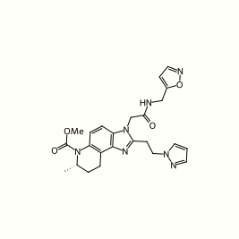 COC(=O)N1c2ccc3c(nc(CCn4cccn4)n3CC(=O)NCc3ccno3)c2CC[C@@H]1C